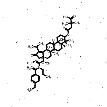 C=C(c1ccc(CN)cc1)N(CCC)/C(=N\C)[C@@H](O)[C@@]12CC[C@]3(C)C(CC[C@@H]4C5(C)CCC(OC(=O)CC(C)(C)C(=O)O)C(C)(C)[C@@H]5CC[C@]43C)C1=C(C(C)C)C(=O)C2